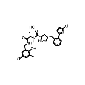 Cc1cc(Cl)cc(CNC(=O)[C@H](C)NC(=O)[C@H]2C[C@H](Cc3ccccc3-c3ccc(Cl)s3)CN2)c1O.Cl